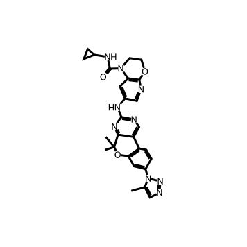 Cc1cnnn1-c1ccc2c(c1)OC(C)(C)c1nc(Nc3cnc4c(c3)N(C(=O)NC3CC3)CCO4)ncc1-2